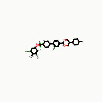 CC1CCC(C2COC(c3ccc(C4CCC(C(F)(F)Oc5cc(F)c(C#N)c(F)c5)CC4)c(F)c3)OC2)CC1